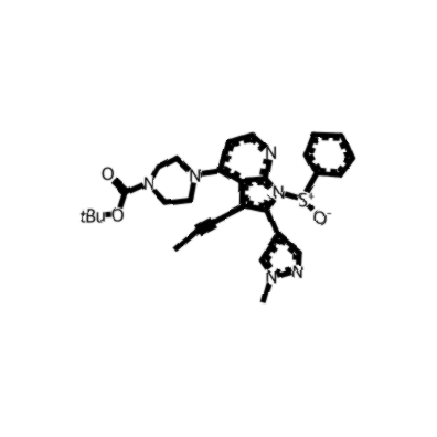 CC#Cc1c(-c2cnn(C)c2)n([S+]([O-])c2ccccc2)c2nccc(N3CCN(C(=O)OC(C)(C)C)CC3)c12